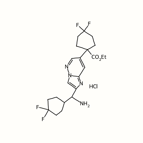 CCOC(=O)C1(c2cnn3cc(C(N)C4CCC(F)(F)CC4)nc3c2)CCC(F)(F)CC1.Cl